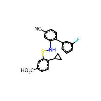 N#Cc1ccc(-c2cccc(F)c2)c(NSc2cc(C(=O)O)ccc2C2CC2)c1